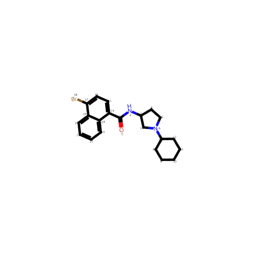 O=C(NC1CCN(C2CCCCC2)C1)c1ccc(Br)c2ccccc12